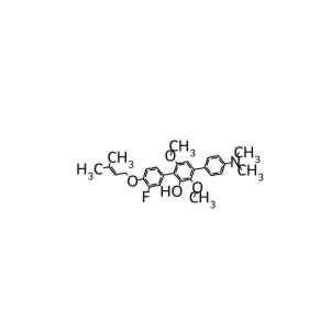 COc1cc(-c2ccc(N(C)C)cc2)c(OC)c(O)c1-c1ccc(OCC=C(C)C)c(F)c1